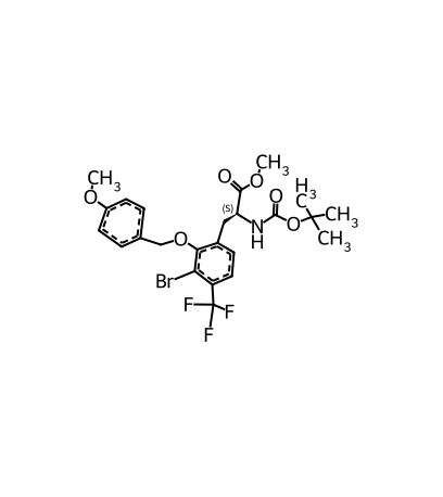 COC(=O)[C@H](Cc1ccc(C(F)(F)F)c(Br)c1OCc1ccc(OC)cc1)NC(=O)OC(C)(C)C